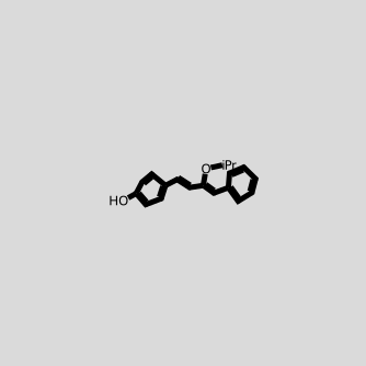 CC(C)OC(C=Cc1ccc(O)cc1)=Cc1ccccc1